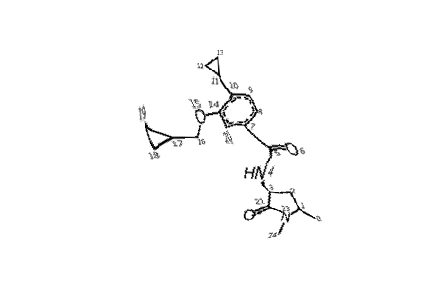 CC1C[C@H](NC(=O)c2ccc(C3CC3)c(OCC3CC3)c2)C(=O)N1C